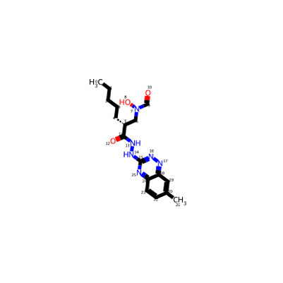 CCCCC[C@H](CN(O)C=O)C(=O)NNc1nnc2cc(C)ccc2n1